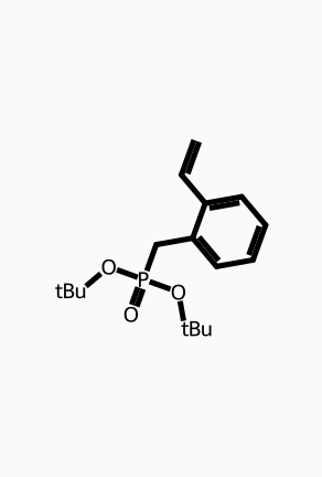 C=Cc1ccccc1CP(=O)(OC(C)(C)C)OC(C)(C)C